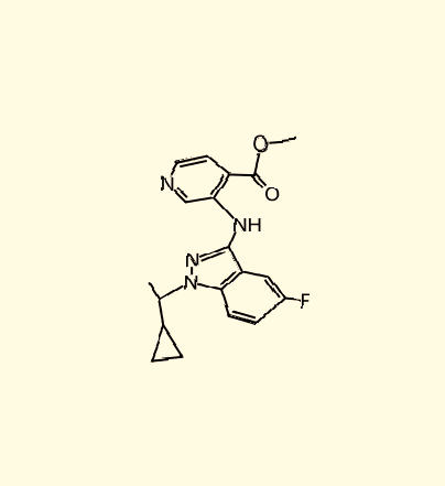 COC(=O)c1ccncc1Nc1nn(C(C)C2CC2)c2ccc(F)cc12